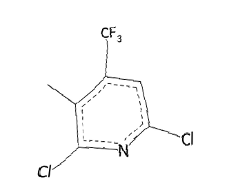 Cc1c(C(F)(F)F)cc(Cl)nc1Cl